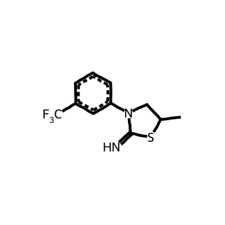 CC1CN(c2cccc(C(F)(F)F)c2)C(=N)S1